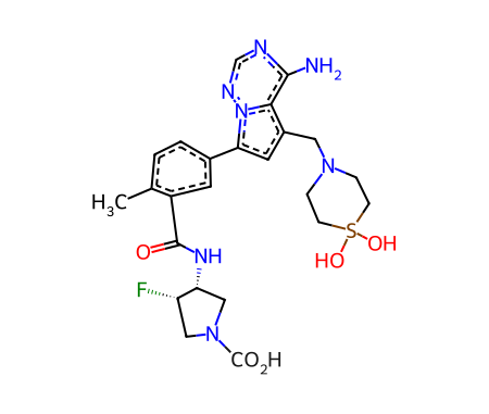 Cc1ccc(-c2cc(CN3CCS(O)(O)CC3)c3c(N)ncnn23)cc1C(=O)N[C@@H]1CN(C(=O)O)C[C@@H]1F